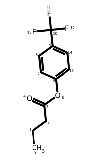 CCCC(=O)Oc1ccc(C(F)(F)F)cc1